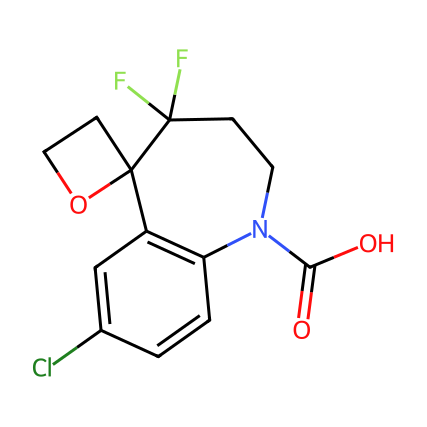 O=C(O)N1CCC(F)(F)C2(CCO2)c2cc(Cl)ccc21